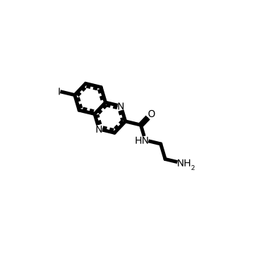 NCCNC(=O)c1cnc2cc(I)ccc2n1